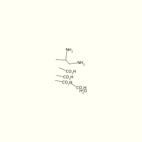 CC(=O)O.CC(=O)O.CC(=O)O.CC(=O)O.CC(N)CN.O